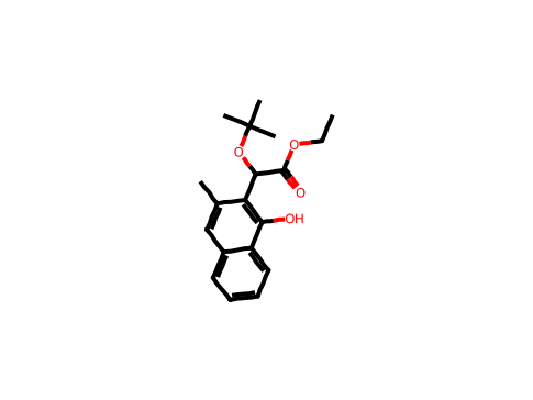 CCOC(=O)C(OC(C)(C)C)c1c(C)cc2ccccc2c1O